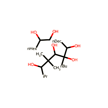 CCCCCCC(O)CO.CCCCCCCCCCC(O)C(O)(CCCC)C(O)C(C)(C)C(O)C(C)C